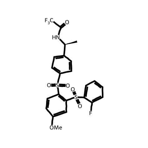 COc1ccc(S(=O)(=O)c2ccc([C@H](C)NC(=O)C(F)(F)F)cc2)c(S(=O)(=O)c2ccccc2F)c1